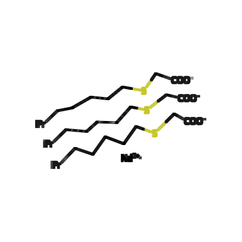 CC(C)CCCCCSCC(=O)[O-].CC(C)CCCCCSCC(=O)[O-].CC(C)CCCCCSCC(=O)[O-].[Nd+3]